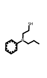 CCCN(CCS)c1ccccc1